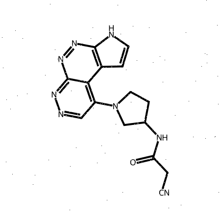 N#CCC(=O)NC1CCN(c2cnnc3nnc4[nH]ccc4c23)C1